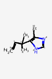 C=CC(C)(C)c1[nH]cnc1CC